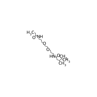 CCC(=O)NCCCOCCOCCCNC(=O)CC(C)C(C)C